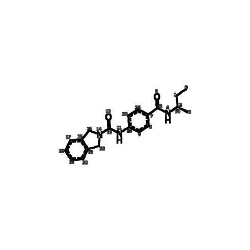 CC[C@@H](C)NC(=O)c1ccc(NC(=O)N2Cc3ccccc3C2)cc1